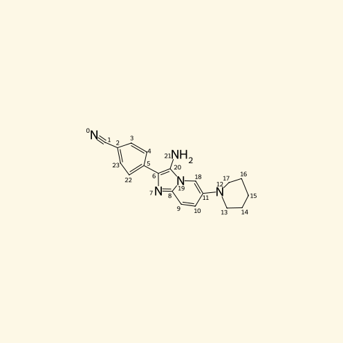 N#Cc1ccc(-c2nc3ccc(N4CCCCC4)cn3c2N)cc1